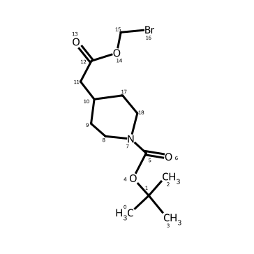 CC(C)(C)OC(=O)N1CCC(CC(=O)OCBr)CC1